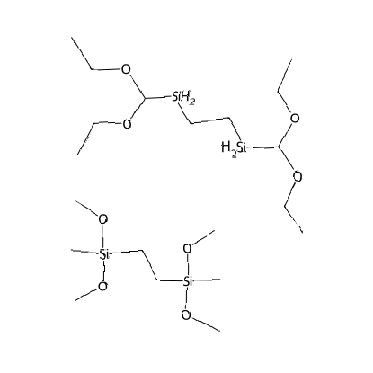 CCOC(OCC)[SiH2]CC[SiH2]C(OCC)OCC.CO[Si](C)(CC[Si](C)(OC)OC)OC